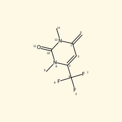 C=C1C=C(C(F)(F)F)N(C)C(=O)N1C